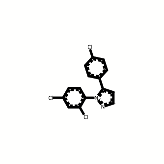 Clc1ccc(-c2c[c]nn2-c2ccc(Cl)cc2Cl)cc1